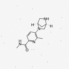 CNC(=O)c1ccc(N2C[C@H]3C[C@@H]2CN3)c(C)n1